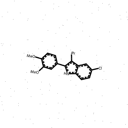 COc1ccc(-c2[nH]c3ccc(Cl)cc3c2C(C)C)cc1OC